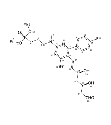 CCOP(=O)(CCSN(C)c1nc(-c2ccc(F)cc2)c(/C=C/[C@@H](O)C[C@@H](O)CC=O)c(C(C)C)n1)OCC